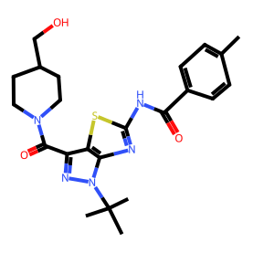 Cc1ccc(C(=O)Nc2nc3c(s2)c(C(=O)N2CCC(CO)CC2)nn3C(C)(C)C)cc1